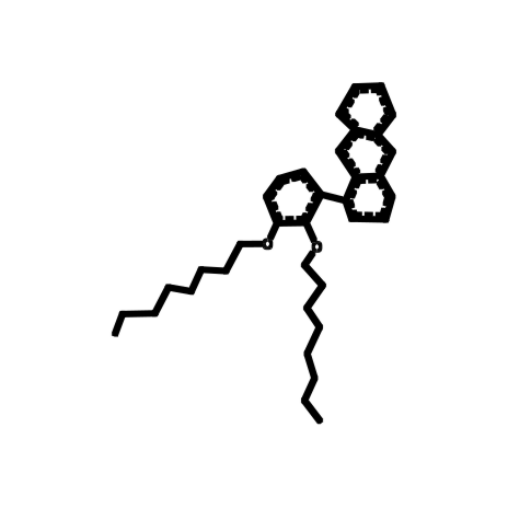 CCCCCCCCOc1cccc(-c2cccc3cc4ccccc4cc23)c1OCCCCCCCC